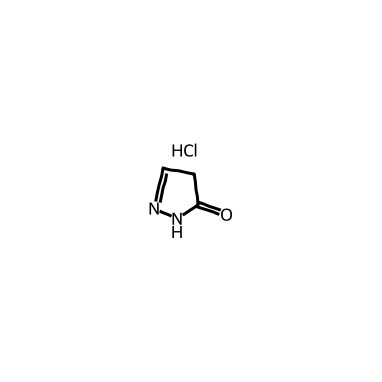 Cl.O=C1CC=NN1